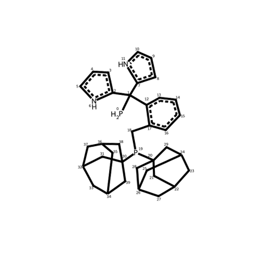 PC(c1ccc[nH]1)(c1ccc[nH]1)c1ccccc1CP(C12CC3CC(CC(C3)C1)C2)C12CC3CC(CC(C3)C1)C2